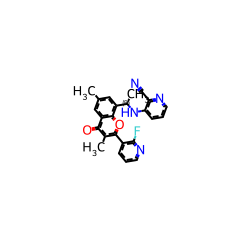 Cc1cc([C@@H](C)Nc2cccnc2C#N)c2oc(-c3cccnc3F)c(C)c(=O)c2c1